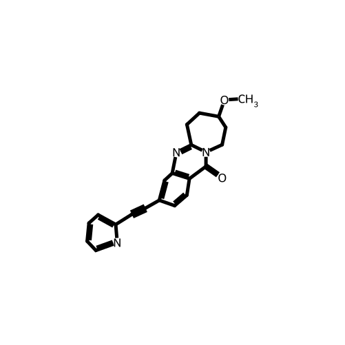 COC1CCc2nc3cc(C#Cc4ccccn4)ccc3c(=O)n2CC1